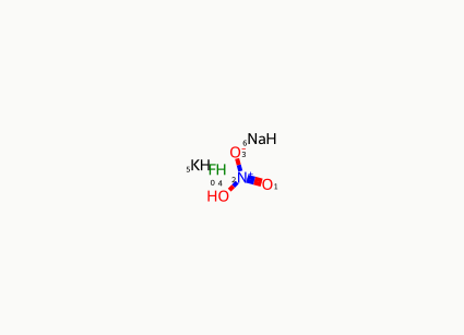 F.O=[N+]([O-])O.[KH].[NaH]